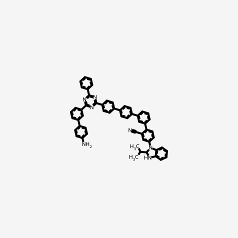 CC(C)C1Nc2ccccc2N1c1ccc(-c2cccc(-c3ccc(-c4ccc(-c5nc(-c6ccccc6)nc(-c6cccc(-c7ccc(N)cc7)c6)n5)cc4)cc3)c2)c(C#N)c1